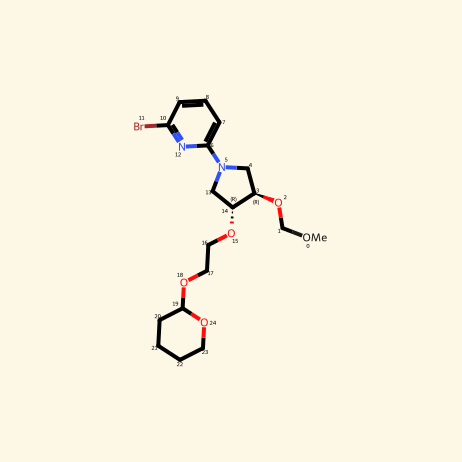 COCO[C@@H]1CN(c2cccc(Br)n2)C[C@H]1OCCOC1CCCCO1